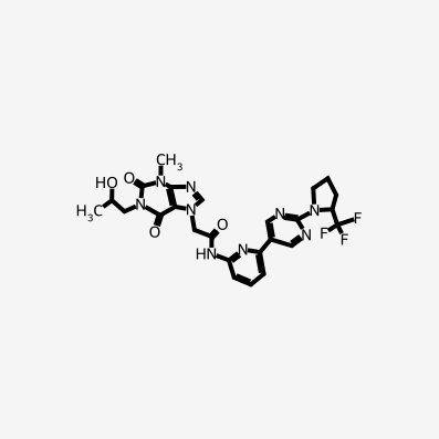 CC(O)Cn1c(=O)c2c(ncn2CC(=O)Nc2cccc(-c3cnc(N4CCCC4C(F)(F)F)nc3)n2)n(C)c1=O